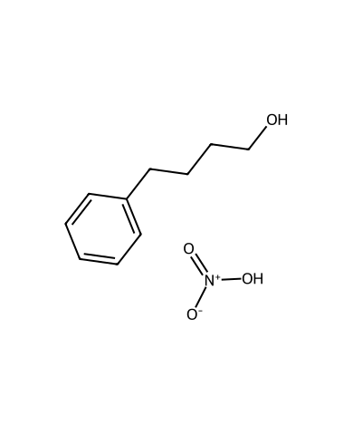 O=[N+]([O-])O.OCCCCc1ccccc1